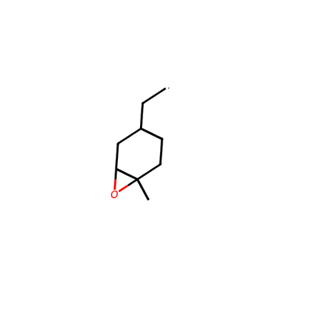 [CH2]CC1CCC2(C)OC2C1